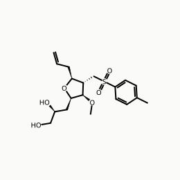 C=CC[C@@H]1O[C@H](C[C@H](O)CO)[C@H](OC)[C@H]1CS(=O)(=O)c1ccc(C)cc1